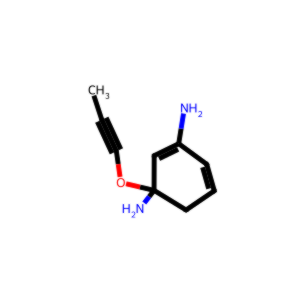 CC#COC1(N)C=C(N)C=CC1